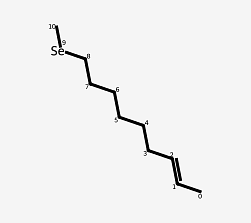 C/C=C/CCCCCC[Se]C